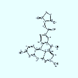 O=C(ON1C(=O)CCC1=O)c1ccc(C2=C3C=CC(O)C=C3OC3C=C(O)C=CC23)c(C(=O)O)c1